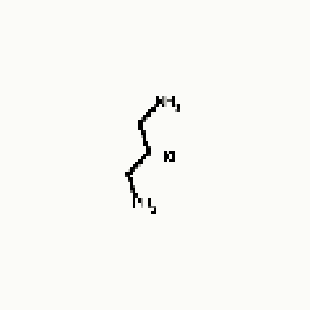 NCCCP.[KH]